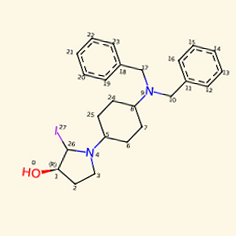 O[C@@H]1CCN(C2CCC(N(Cc3ccccc3)Cc3ccccc3)CC2)C1I